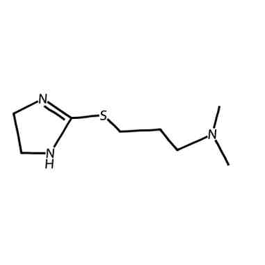 CN(C)CCCSC1=NCCN1